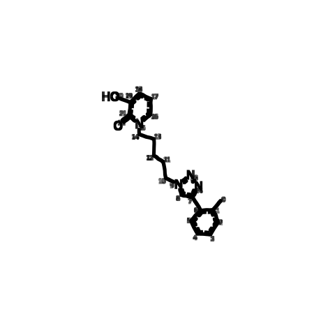 Cc1ccccc1-c1cn(CCCCCn2cccc(O)c2=O)nn1